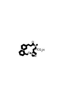 CN(C(=O)CCc1ccccc1)[C@@H](Cc1cncn1OCc1ccccc1)C(=O)O